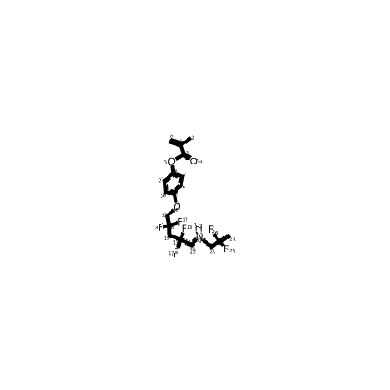 C=C(C)C(=O)Oc1ccc(OCC(F)(F)CC(F)(F)CNCC(C)(F)F)cc1